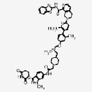 Cc1cc(OC[C@H](C)CC2CCN(CC(=O)Nc3ccc4c([C@H]5CCC(=O)NC5=O)nn(C)c4c3)CC2)ccc1-c1ccc(N2CCc3ccnc(C(=O)Nc4nc5ccccc5s4)c3C2)nc1C(=O)O